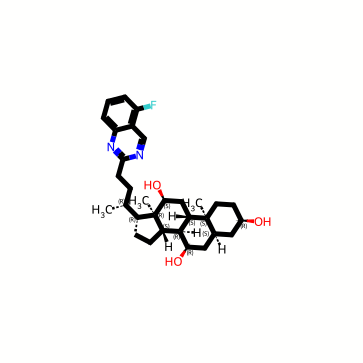 C[C@H](CCc1ncc2c(F)cccc2n1)[C@H]1CC[C@H]2[C@@H]3[C@H](O)C[C@@H]4C[C@H](O)CC[C@]4(C)[C@H]3C[C@H](O)[C@]12C